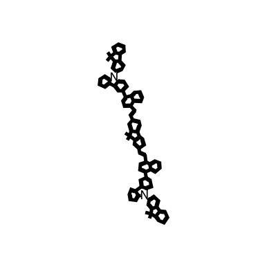 CC1(C)c2cc(/C=C/c3ccc(-c4ccc5c(c4)c4ccccc4n5-c4ccc5c(c4)C(C)(C)c4ccccc4-5)c4ccccc34)ccc2-c2ccc(/C=C/c3ccc(-c4ccc5c(c4)c4ccccc4n5-c4ccc5c(c4)C(C)(C)c4ccccc4-5)c4ccccc34)cc21